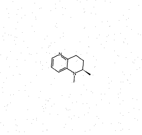 C[C@@H]1CCc2ncccc2N1C